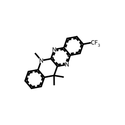 CN1c2ccccc2C(C)(C)c2nc3cc(C(F)(F)F)ccc3nc21